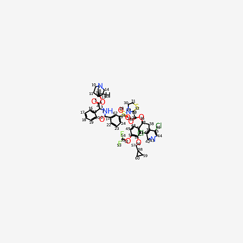 O=C(NC(C(=O)O[C@H]1CN2CCC1CC2)c1ccccc1)c1cccc(S(=O)(=O)N2CCS[C@H]2C(=O)O[C@@H](Cc2c(Cl)cncc2Cl)c2ccc(OC(F)F)c(OCC3CC3)c2)c1